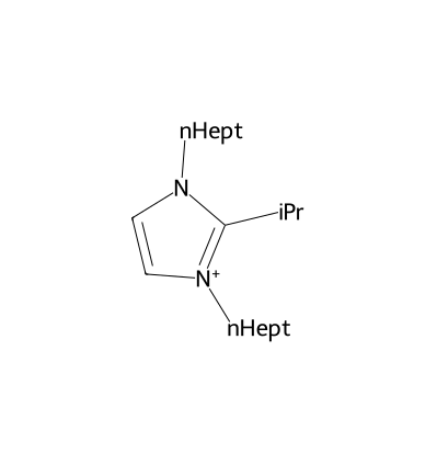 CCCCCCCn1cc[n+](CCCCCCC)c1C(C)C